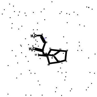 C=C(/C=C\C)CN1C2CCC1CN(I)C2